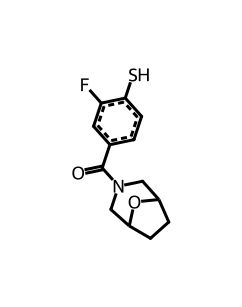 O=C(c1ccc(S)c(F)c1)N1CC2CCC(C1)O2